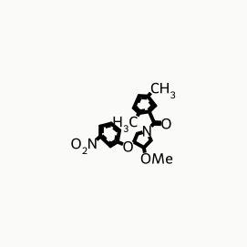 COC1CN(C(=O)c2cc(C)ccc2C)CC1Oc1cccc([N+](=O)[O-])c1